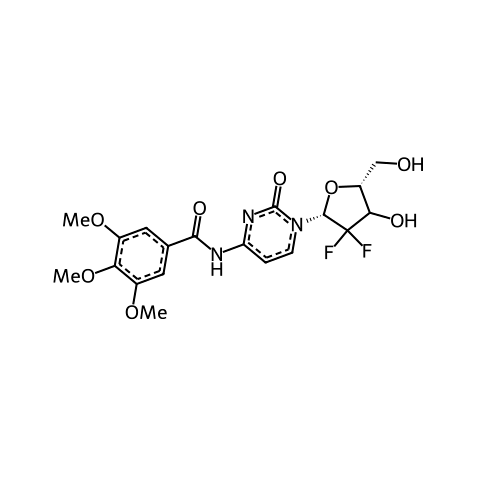 COc1cc(C(=O)Nc2ccn([C@@H]3O[C@H](CO)C(O)C3(F)F)c(=O)n2)cc(OC)c1OC